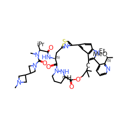 CCn1c(-c2cccnc2[C@H](C)OC)c2c3cc(ccc31)-c1csc(n1)C[C@H](NC(=O)C(C(C)C)N(C)C(=O)N1CC(C3CN(C)C3)C1)C(=O)N1CCC[C@H](N1)C(=O)OCC(C)(C)C2